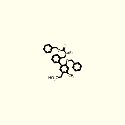 CCN(Cc1ccccc1-c1cc(CC(=O)O)c(C(F)(F)F)cc1OCc1ccccc1)C(=O)OCc1ccccc1